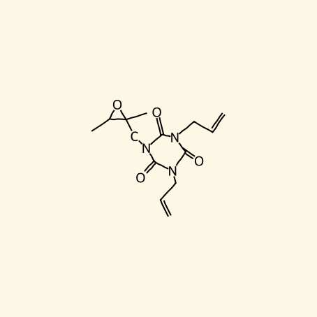 C=CCn1c(=O)n(CC=C)c(=O)n(CC2(C)OC2C)c1=O